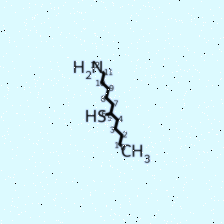 CCCCCC(S)CCCCCN